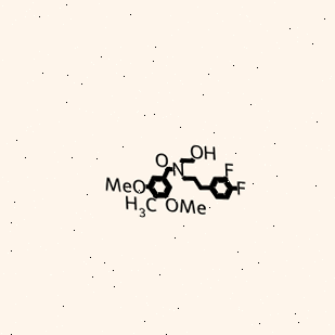 COc1cc(C(=O)N(CCO)CCCc2ccc(F)c(F)c2)cc(OC)c1C